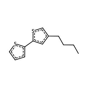 CCCCc1csc(-c2cccs2)c1